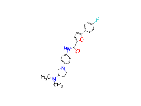 CN(C)C1CCN(c2ccc(NC(=O)c3ccc(-c4ccc(F)cc4)o3)cc2)C1